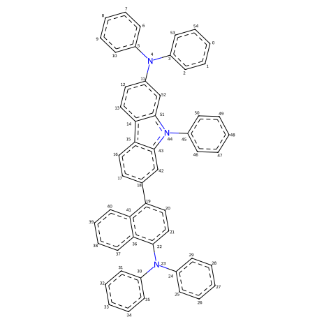 c1ccc(N(c2ccccc2)c2ccc3c4ccc(-c5ccc(N(c6ccccc6)c6ccccc6)c6ccccc56)cc4n(-c4ccccc4)c3c2)cc1